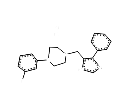 Cl.Cl.Fc1cccc(N2CCN(Cc3[nH]cnc3-c3ccccc3)CC2)c1